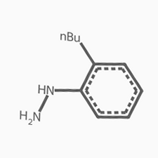 CCCCc1ccccc1NN